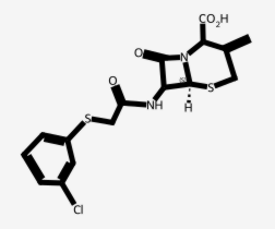 C=C1CS[C@H]2C(NC(=O)CSc3cccc(Cl)c3)C(=O)N2C1C(=O)O